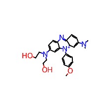 COc1ccc(-[n+]2c3cc(N(C)C)ccc3nc3ccc(N(CCO)CCO)cc32)cc1